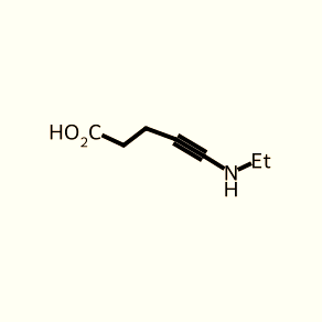 CCNC#CCCC(=O)O